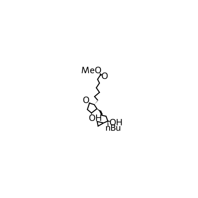 CCCC[C@](O)(C/C=C/[C@H]1[C@H](O)CC(=O)[C@@H]1CCCCCCC(=O)OC)C1CC1